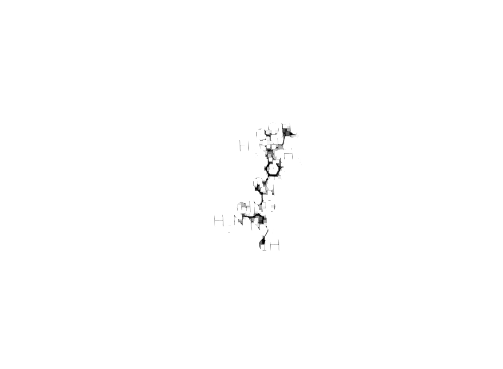 C#CCn1cc(NC(=O)c2coc(-c3ccnc(CC(C)(C)N(CC4CC4)C(=O)O)c3)n2)c(C(N)=O)n1